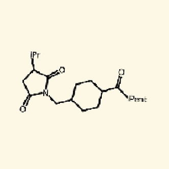 CCCC(C)C(=O)C1CCC(CN2C(=O)CC(C(C)C)C2=O)CC1